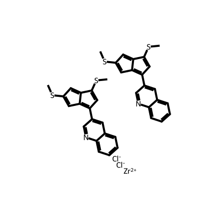 CSC1=CC2=C(c3cnc4ccccc4c3)C=C(SC)C2=C1.CSC1=CC2=C(c3cnc4ccccc4c3)C=C(SC)C2=C1.[Cl-].[Cl-].[Zr+2]